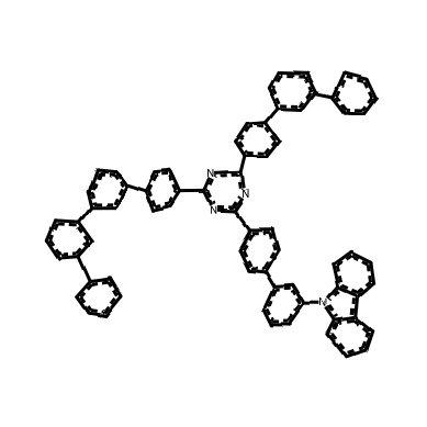 c1ccc(-c2cccc(-c3ccc(-c4nc(-c5ccc(-c6cccc(-c7cccc(-c8ccccc8)c7)c6)cc5)nc(-c5ccc(-c6cccc(-n7c8ccccc8c8ccccc87)c6)cc5)n4)cc3)c2)cc1